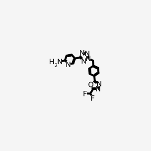 Nc1ccc(-c2nnn(Cc3ccc(-c4nnc(C(F)F)o4)cc3)n2)cn1